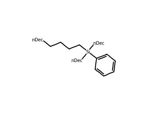 CCCCCCCCCCCCCC[Si](CCCCCCCCCC)(CCCCCCCCCC)c1ccccc1